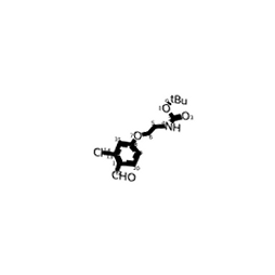 CC(C)(C)OC(=O)NCCOc1ccc(C=O)c(Cl)c1